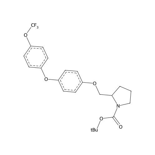 CC(C)(C)OC(=O)N1CCCC1COc1ccc(Oc2ccc(OC(F)(F)F)cc2)cc1